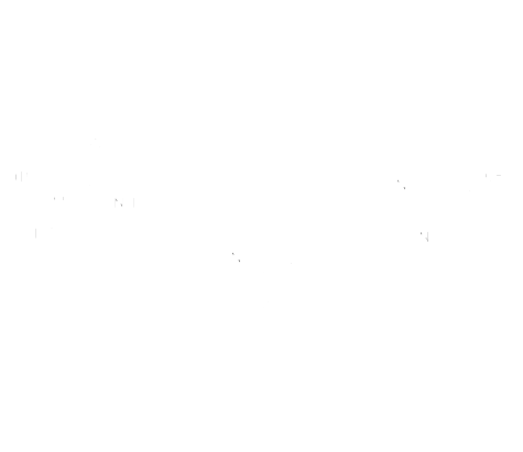 CC(C)(C)OC(=O)NC(CO)CCCn1ccc2cc(-c3ncc(C(F)(F)F)cn3)c(F)cc2c1=O